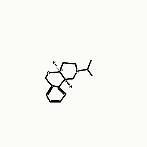 CC(C)N1CC[C@@H]2OCc3ccccc3[C@H]2C1